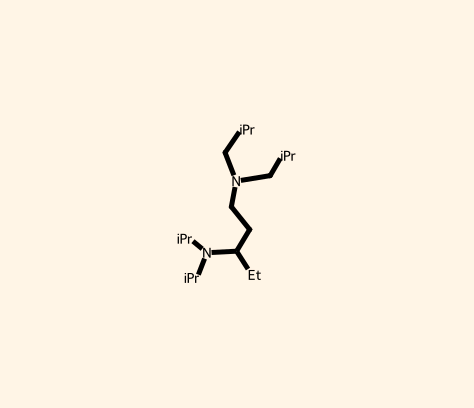 CCC(CCN(CC(C)C)CC(C)C)N(C(C)C)C(C)C